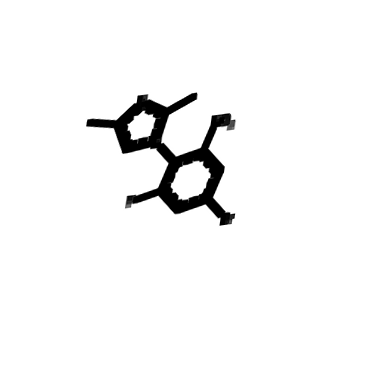 Cc1cn(-c2c(F)cc(Br)cc2[N+](=O)[O-])c(C)n1